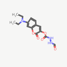 CCN(CC)c1ccc2cc(OC(=O)NNC=O)c(=O)oc2c1